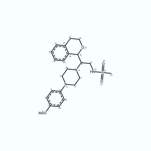 COc1ccc(N2CCN(C(CNS(C)(=O)=O)C3OCCc4ccccc43)CC2)cc1